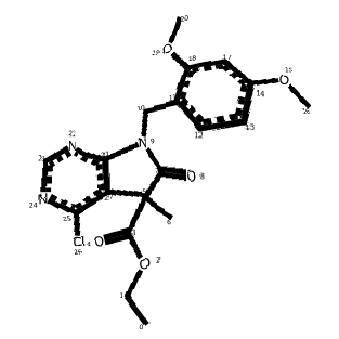 CCOC(=O)C1(C)C(=O)N(Cc2ccc(OC)cc2OC)c2ncnc(Cl)c21